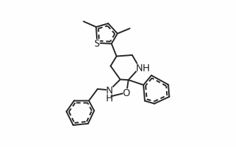 COC1(c2ccccc2)NCC(c2sc(C)cc2C)CC1NCc1ccccc1